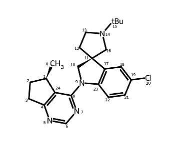 C[C@@H]1CCc2ncnc(N3C[C@]4(CCN(C(C)(C)C)C4)c4cc(Cl)ccc43)c21